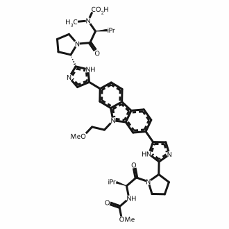 COCCn1c2cc(-c3cnc(C4CCCN4C(=O)[C@@H](NC(=O)OC)C(C)C)[nH]3)ccc2c2ccc(-c3cnc([C@@H]4CCCN4C(=O)[C@H](C(C)C)N(C)C(=O)O)[nH]3)cc21